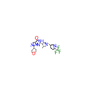 CC1CN(Cc2ccc(C(F)(F)F)nc2)CC1c1nn2c(C3CCOCC3)ncc2c(=O)[nH]1